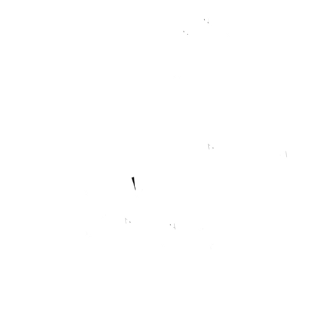 C[C@H]1CN(C(=O)c2ccc3c(Cl)cc(-c4ccc5c(cnn5C)c4)nc3c2)CCN1C(=O)O